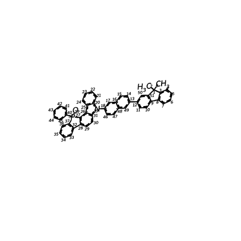 CC1(C)c2ccccc2-c2ccc(-c3ccc4cc(-n5c6ccccc6c6c7c(ccc65)-c5ccccc5P7(=O)c5ccccc5)ccc4c3)cc21